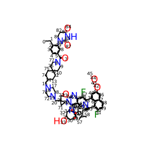 CCc1ccc(C(=O)N2CCC3(CCC(CN4CCN(CC5(COc6nc(N7CCC[C@@](C)(O)C7)c7cnc(-c8cc(OCOC)cc9ccc(F)c(C#C[Si](C(C)C)(C(C)C)C(C)C)c89)c(F)c7n6)CC5)CC4)CC3)CC2)cc1N1CCC(=O)NC1=O